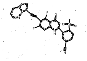 CS(=O)(=O)c1ccc(C#N)cc1-c1cc(=O)c2c(F)c(C#Cc3cnc4cccnn34)c(F)cc2[nH]1